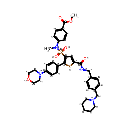 COC(=O)c1ccc(N(C)S(=O)(=O)c2cc(C(=O)NCc3ccc(CN4CCCCC4)cc3)sc2-c2ccc(N3CCOCC3)cc2)cc1